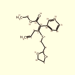 C=CCC(SCCC1OCCO1)=C(C(=O)OCC)c1cccnc1